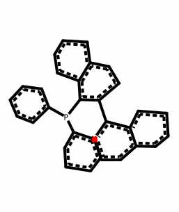 c1ccc(P(c2ccccc2)c2c(-c3nccc4ccccc34)ccc3ccccc23)cc1